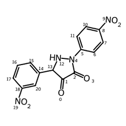 O=C1C(=O)N(c2ccc([N+](=O)[O-])cc2)NC1c1cccc([N+](=O)[O-])c1